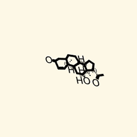 CC(=O)[C@H]1CC[C@H]2[C@@H]3CCC4CC(=O)C=C[C@]4(C)[C@H]3C[C@@H](O)[C@]12C